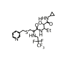 CCC(NC(=O)[C@H](CSCc1cccnc1)NCC(F)(F)C(F)(F)F)C(O)C(=O)NC1CC1